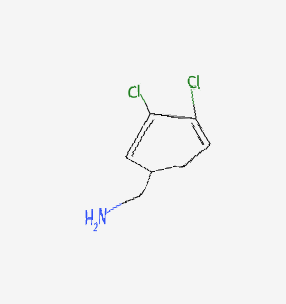 NCC1C=C(Cl)C(Cl)=CC1